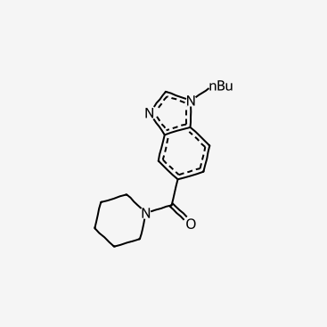 CCCCn1cnc2cc(C(=O)N3CCCCC3)ccc21